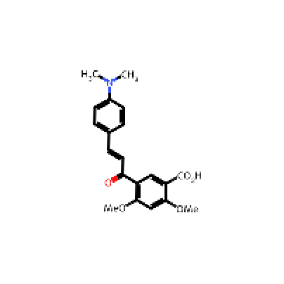 COc1cc(OC)c(C(=O)C=Cc2ccc(N(C)C)cc2)cc1C(=O)O